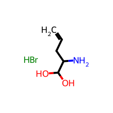 Br.C=CCC(N)C(O)O